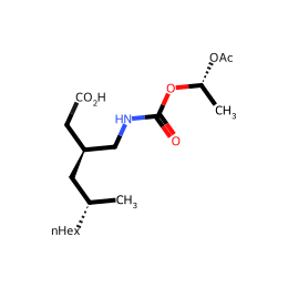 CCCCCC[C@@H](C)C[C@H](CNC(=O)O[C@@H](C)OC(C)=O)CC(=O)O